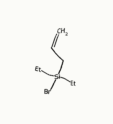 C=CC[Si](Br)(CC)CC